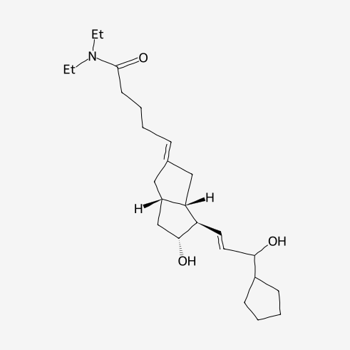 CCN(CC)C(=O)CCC/C=C1\C[C@H]2C[C@@H](O)[C@H](C=CC(O)C3CCCC3)[C@H]2C1